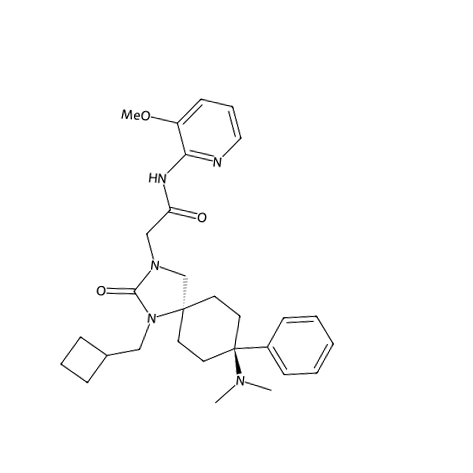 COc1cccnc1NC(=O)CN1C[C@]2(CC[C@](c3ccccc3)(N(C)C)CC2)N(CC2CCC2)C1=O